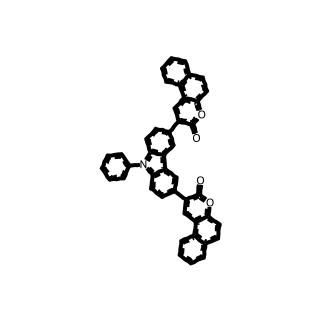 O=c1oc2ccc3ccccc3c2cc1-c1ccc2c(c1)c1cc(-c3cc4c(ccc5ccccc54)oc3=O)ccc1n2-c1ccccc1